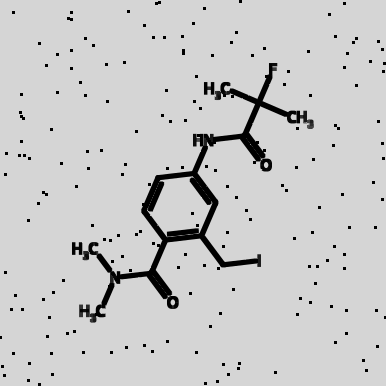 CN(C)C(=O)c1ccc(NC(=O)C(C)(C)F)cc1CI